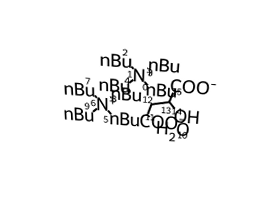 CCCC[N+](CCCC)(CCCC)CCCC.CCCC[N+](CCCC)(CCCC)CCCC.O.O=C([O-])CC(O)C(=O)[O-]